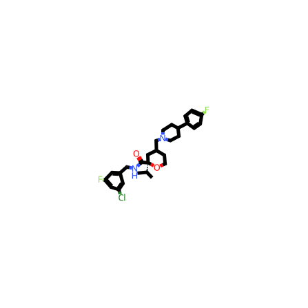 CC(C)[C@]1(C(=O)NCc2cc(F)cc(Cl)c2)CC(CN2CCC(c3ccc(F)cc3)CC2)CCO1